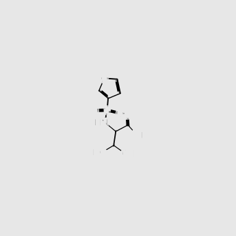 CC(C)C(NS(=O)(=O)c1ccoc1)C(=O)O